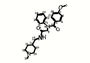 COc1ccc(C(=O)N(CC(=O)NCC2CCN(C)CC2)c2ccccc2)cc1